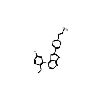 COc1ccc(F)cc1-c1ccnc2[nH]c(C3=CCN(CCN)CC3)cc12